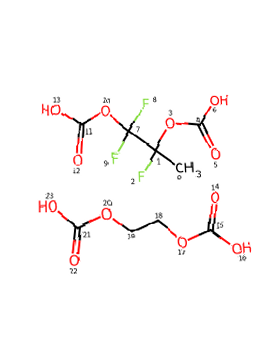 CC(F)(OC(=O)O)C(F)(F)OC(=O)O.O=C(O)OCCOC(=O)O